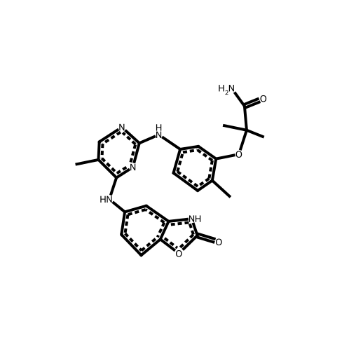 Cc1ccc(Nc2ncc(C)c(Nc3ccc4oc(=O)[nH]c4c3)n2)cc1OC(C)(C)C(N)=O